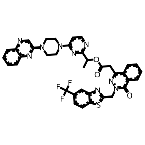 CC(OC(=O)Cc1nn(Cc2nc3cc(C(F)(F)F)ccc3s2)c(=O)c2ccccc12)c1nccc(N2CCN(c3cnc4ccccc4n3)CC2)n1